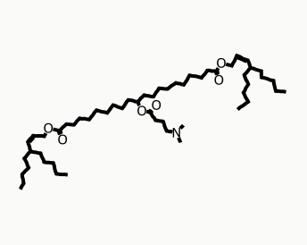 CCCCCC(/C=C\COC(=O)CCCCCCCCCC(CCCCCCCCCC(=O)OC/C=C\C(CCCCC)CCCCC)OC(=O)CCCN(C)C)CCCCC